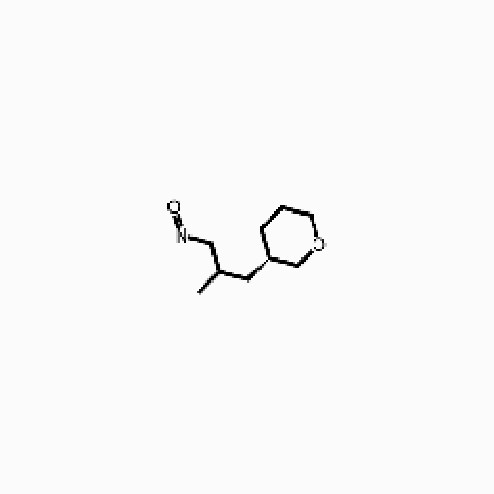 CC(CN=O)C[C@H]1CCCOC1